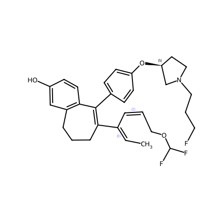 C/C=C(\C=C/COC(F)F)C1=C(c2ccc(O[C@H]3CCN(CCCF)C3)cc2)c2ccc(O)cc2CCC1